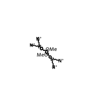 COc1cc(C=Cc2ccc(N(CCCCCC[N+](C)(C)C)CCCCCC[N+](C)(C)C)cc2)c(OC)cc1C=Cc1ccc(N(CCCCCC[N+](C)(C)C)CCCCCC[N+](C)(C)C)cc1